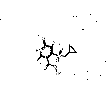 CC[CH]OC(=O)c1c(C)[nH]c(=O)c(N)c1S(=O)(=O)CC1CC1